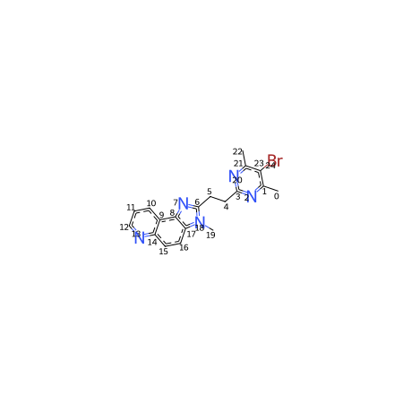 Cc1nc(CCc2nc3c4cccnc4ccc3n2C)nc(C)c1Br